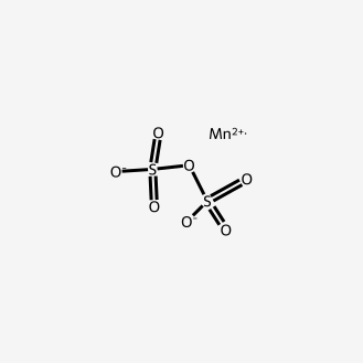 O=S(=O)([O-])OS(=O)(=O)[O-].[Mn+2]